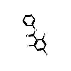 O=C(Oc1ccccc1)c1c(F)cc(F)cc1F